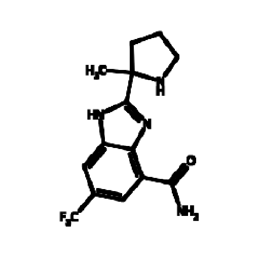 CC1(c2nc3c(C(N)=O)cc(C(F)(F)F)cc3[nH]2)CCCN1